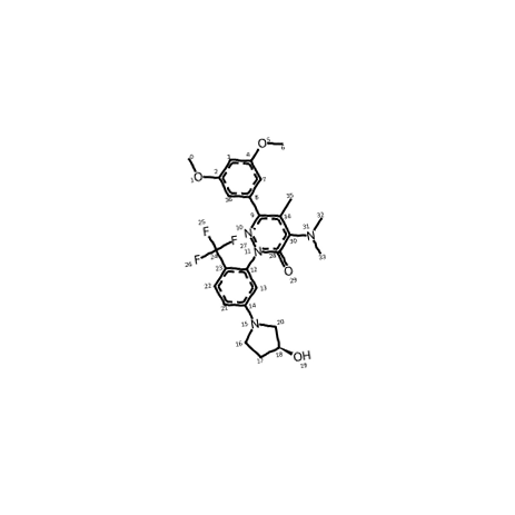 COc1cc(OC)cc(-c2nn(-c3cc(N4CC[C@H](O)C4)ccc3C(F)(F)F)c(=O)c(N(C)C)c2C)c1